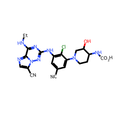 CCNc1nc(Nc2cc(C#N)cc(N3CCC(NC(=O)O)C(O)C3)c2Cl)nn2c(C#N)cnc12